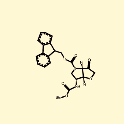 CC(C)(C)OC(=O)N[C@H]1CN(C(=O)OCC2c3ccccc3-c3ccccc32)[C@@H]2C(=O)CO[C@H]12